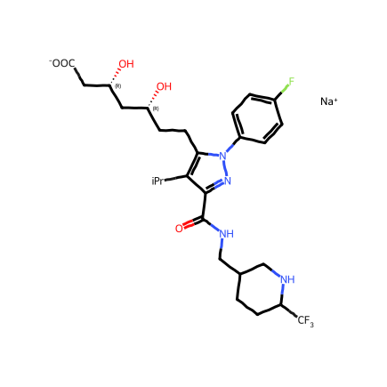 CC(C)c1c(C(=O)NCC2CCC(C(F)(F)F)NC2)nn(-c2ccc(F)cc2)c1CC[C@@H](O)C[C@@H](O)CC(=O)[O-].[Na+]